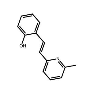 Cc1cccc(C=Cc2ccccc2O)n1